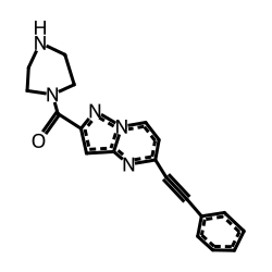 O=C(c1cc2nc(C#Cc3ccccc3)ccn2n1)N1CCNCC1